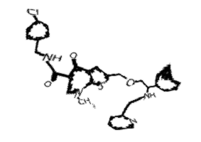 Cn1cc(C(=O)NCc2ccc(Cl)cc2)c(=O)c2cc(COCC(NCc3ccccn3)c3ccccc3)sc21